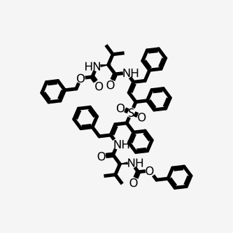 CC(C)[C@H](NC(=O)OCc1ccccc1)C(=O)NC(=CC(c1ccccc1)S(=O)(=O)C(C=C(Cc1ccccc1)NC(=O)[C@@H](NC(=O)OCc1ccccc1)C(C)C)c1ccccc1)Cc1ccccc1